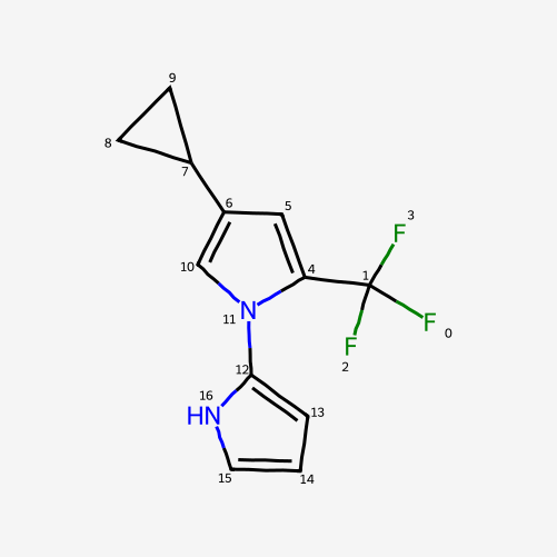 FC(F)(F)c1cc(C2CC2)cn1-c1ccc[nH]1